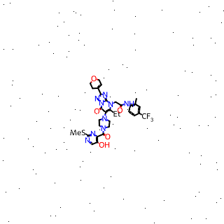 CCc1c(N2CCN(C(=O)c3nc(SC)ncc3O)CC2)c(=O)n2nc(C3=CCOCC3)nc2n1CC(=O)Nc1ccc(C(F)(F)F)cc1C